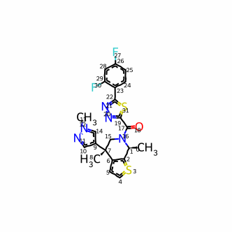 C[C@H]1c2sccc2[C@](C)(c2cnn(C)c2)CN1C(=O)c1nnc(-c2ccc(F)cc2F)s1